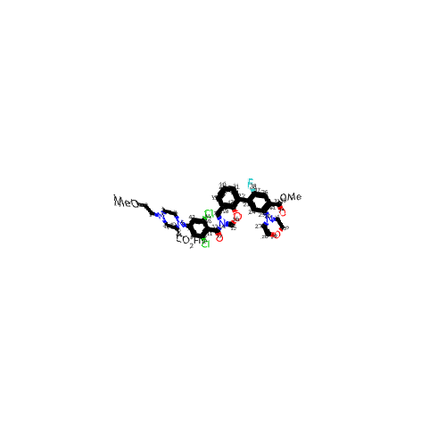 COCCN1CCN(c2cc(Cl)c(C(=O)N3COc4c(cccc4-c4cc(N5CCOCC5)c(C(=O)OC)cc4F)C3)c(Cl)c2)[C@@H](C(=O)O)C1